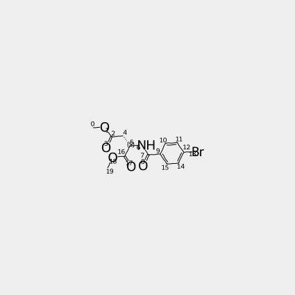 COC(=O)C[C@H](NC(=O)c1ccc(Br)cc1)C(=O)OC